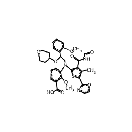 COc1ccccc1C(CN(c1cccc(C(=O)O)c1OC)c1sc(-c2ncco2)c(C)c1C(=O)NC=O)OC1CCOCC1